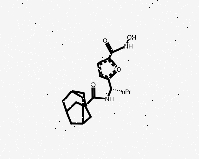 CCC[C@H](NC(=O)C12CC3CC(CC(C3)C1)C2)c1ccc(C(=O)NO)o1